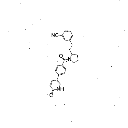 N#Cc1cccc(CCC2CCCN2C(=O)c2ccc(-c3ccc(=O)[nH]c3)cc2)c1